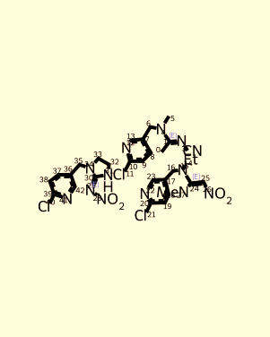 C/C(=N\C#N)N(C)Cc1ccc(Cl)nc1.CCN(Cc1ccc(Cl)nc1)/C(=C/[N+](=O)[O-])NC.O=[N+]([O-])/N=C1\NCCN1Cc1ccc(Cl)nc1